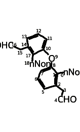 CCCCCCCCCc1c(CC=O)cccc1Oc1cccc(CC=O)c1CCCCCCCCC